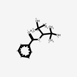 CC(C)(O)C(OC(=O)c1ccccc1)C(C)(C)O